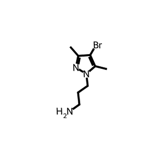 Cc1nn(CCCN)c(C)c1Br